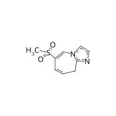 CS(=O)(=O)C1=Cn2ccnc2CC=C1